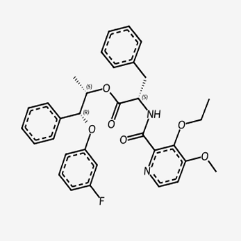 CCOc1c(OC)ccnc1C(=O)N[C@@H](Cc1ccccc1)C(=O)O[C@@H](C)[C@H](Oc1cccc(F)c1)c1ccccc1